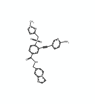 Cn1ccc(CS(=O)(=O)c2ccc(C(=O)NCc3ccn4ccnc4c3)cc2C#Cc2ccc(N)nc2)n1